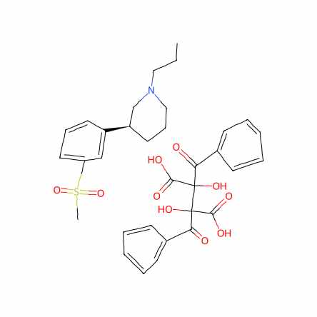 CCCN1CCC[C@@H](c2cccc(S(C)(=O)=O)c2)C1.O=C(O)C(O)(C(=O)c1ccccc1)C(O)(C(=O)O)C(=O)c1ccccc1